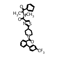 C[C@H](C(=O)c1ccccc1)N(C)C(=O)c1csc(C2CCN(C(=O)c3ccccc3-c3ccc(C(F)(F)F)cc3)CC2)n1